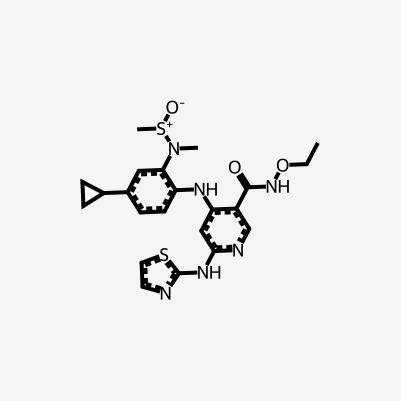 CCONC(=O)c1cnc(Nc2nccs2)cc1Nc1ccc(C2CC2)cc1N(C)[S+](C)[O-]